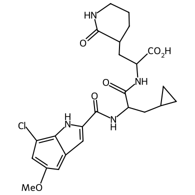 COc1cc(Cl)c2[nH]c(C(=O)NC(CC3CC3)C(=O)NC(CC3CCCNC3=O)C(=O)O)cc2c1